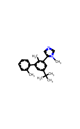 Cc1ccccc1-c1cc(C(C)(C)C)cc(-c2cncn2C)c1C